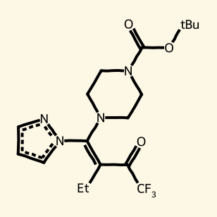 CC/C(C(=O)C(F)(F)F)=C(/N1CCN(C(=O)OC(C)(C)C)CC1)n1cccn1